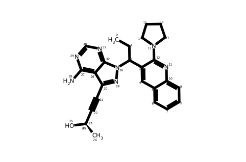 CCC(c1cc2ccccc2nc1N1CCCC1)n1nc(C#C[C@@H](C)O)c2c(N)ncnc21